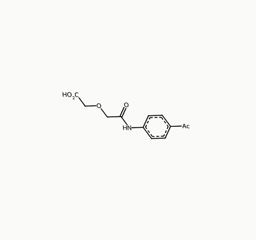 CC(=O)c1ccc(NC(=O)COCC(=O)O)cc1